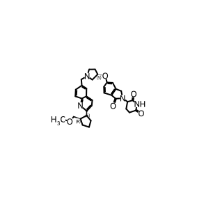 COC[C@@H]1CCC[C@@H]1c1ccc2cc(CN3CC[C@H](Oc4ccc5c(c4)CN(C4CCC(=O)NC4=O)C5=O)C3)ccc2n1